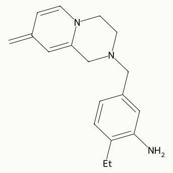 C=C1C=CN2CCN(Cc3ccc(CC)c(N)c3)CC2=C1